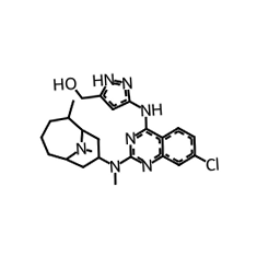 CC1CCCC2CC(N(C)c3nc(Nc4cc(CO)[nH]n4)c4ccc(Cl)cc4n3)CC1N2C